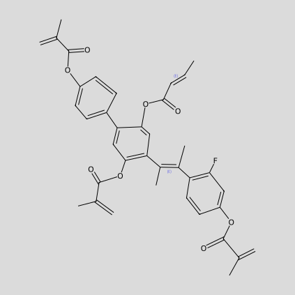 C=C(C)C(=O)Oc1ccc(-c2cc(OC(=O)C(=C)C)c(/C(C)=C(\C)c3ccc(OC(=O)C(=C)C)cc3F)cc2OC(=O)/C=C/C)cc1